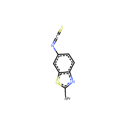 CCCc1nc2ccc(N=C=S)cc2s1